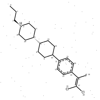 CCC[Si@H]1CC[C@H](C2CCC(c3ccc(C(F)=C(Cl)Cl)cc3)CC2)CC1